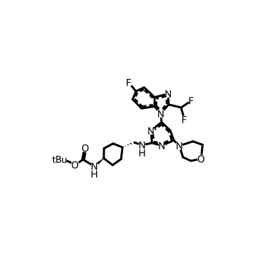 CC(C)(C)OC(=O)N[C@H]1CC[C@H](CNc2nc(N3CCOCC3)cc(-n3c(C(F)F)nc4cc(F)ccc43)n2)CC1